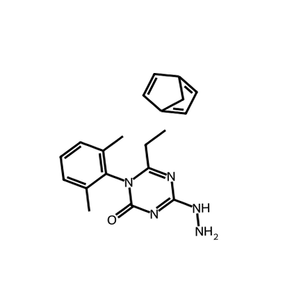 C1=CC2=CC=C1C2.CCc1nc(NN)nc(=O)n1-c1c(C)cccc1C